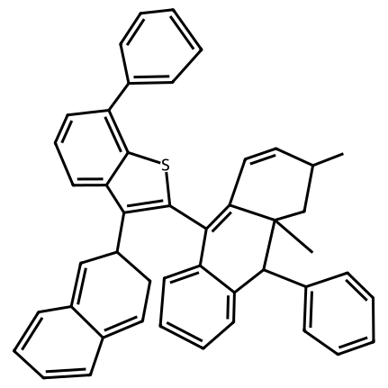 CC1C=CC2=C(c3sc4c(-c5ccccc5)cccc4c3C3C=c4ccccc4=CC3)c3ccccc3C(c3ccccc3)C2(C)C1